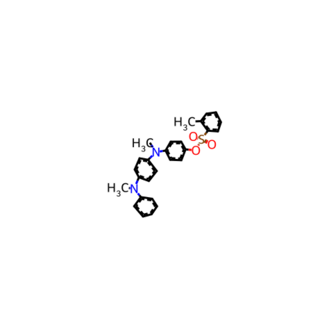 Cc1ccccc1S(=O)(=O)Oc1ccc(N(C)c2ccc(N(C)c3ccccc3)cc2)cc1